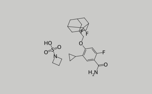 NC(=O)c1cc(C2CC2)c(OCC23CC4CC(C2)C(F)(F)C(C4)C3)cc1F.O=S(=O)(O)N1CCC1